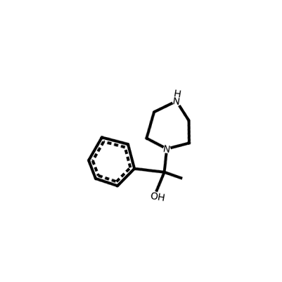 CC(O)(c1ccccc1)N1CCNCC1